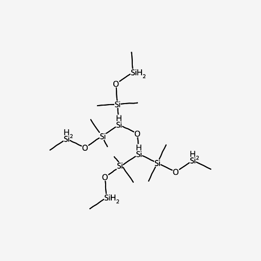 C[SiH2]O[Si](C)(C)[SiH](O[SiH]([Si](C)(C)O[SiH2]C)[Si](C)(C)O[SiH2]C)[Si](C)(C)O[SiH2]C